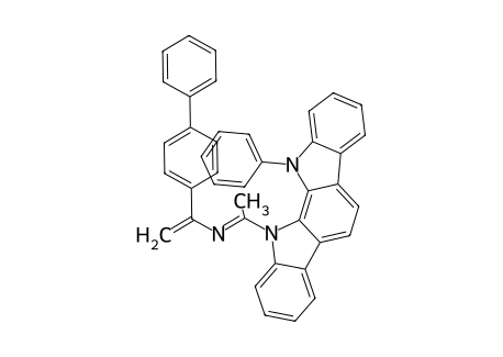 C=C(/N=C(\C)n1c2ccccc2c2ccc3c4ccccc4n(-c4ccccc4)c3c21)c1ccc(-c2ccccc2)cc1